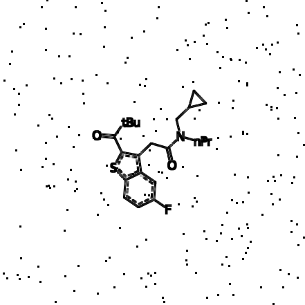 CCCN(CC1CC1)C(=O)Cc1c(C(=O)C(C)(C)C)sc2ccc(F)cc12